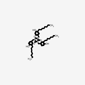 CCCCCCCCc1cc(Cn2c(=O)n(Cc3ccc(O)c(CCCCCCCC)c3)c(=O)n(Cc3ccc(O)c(CCCCCCCC)c3)c2=O)ccc1O